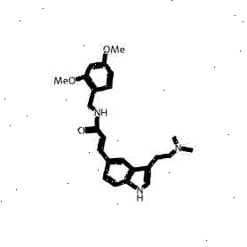 COc1ccc(CNC(=O)C=Cc2ccc3[nH]cc(CCN(C)C)c3c2)c(OC)c1